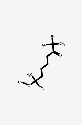 CC(C)(CCCCC(=O)C(C)(C)Br)O[SiH3]